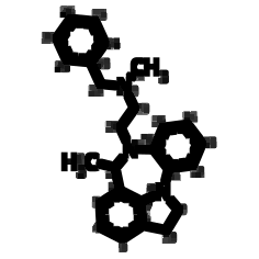 CC1c2cccc3c2N(CC3)c2ccccc2N1CCN(C)Cc1ccccc1